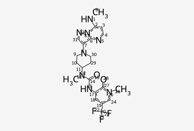 CNc1ccnc2c(N3CCC(N(C)C(=O)Nc4cc(C(F)(F)F)cn(C)c4=O)CC3)cnn12